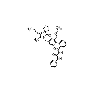 C=C(CCCC)N(Cc1ccc(-c2ccccc2[S+]([O-])NC(=O)Nc2ccccc2)c(COCC)c1)C(=O)C1(C)CCCC1